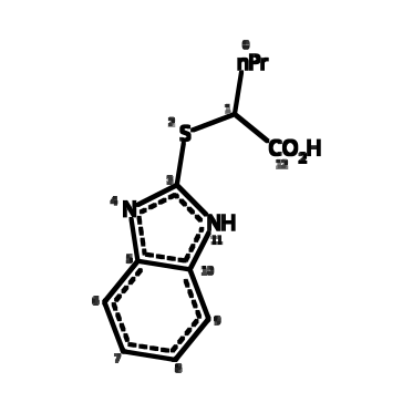 CCCC(Sc1nc2ccccc2[nH]1)C(=O)O